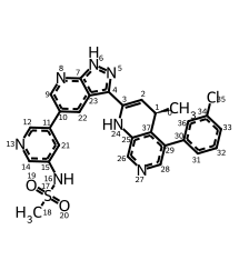 C[C@@H]1C=C(c2n[nH]c3ncc(-c4cncc(NS(C)(=O)=O)c4)cc23)Nc2cncc(-c3cccc(Cl)c3)c21